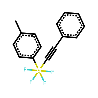 Cc1ccc(S(F)(F)(F)(F)C#Cc2ccccc2)cc1